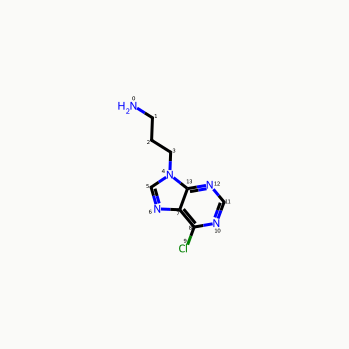 NCCCn1cnc2c(Cl)ncnc21